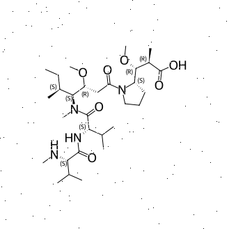 CC[C@H](C)[C@@H]([C@@H](CC(=O)N1CCC[C@H]1[C@H](OC)[C@@H](C)C(=O)O)OC)N(C)C(=O)[C@@H](NC(=O)[C@@H](NC)C(C)C)C(C)C